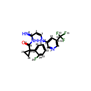 N=C(/C=C\Nc1cncc(C(F)(F)F)c1)NC(=O)C1(c2ccccc2F)CC1